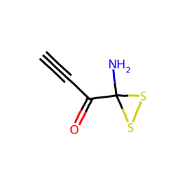 C#CC(=O)C1(N)SS1